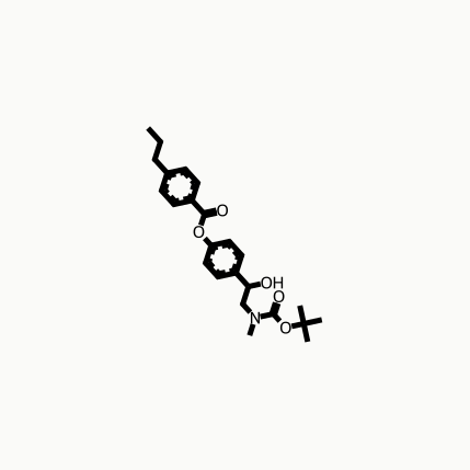 CCCc1ccc(C(=O)Oc2ccc(C(O)CN(C)C(=O)OC(C)(C)C)cc2)cc1